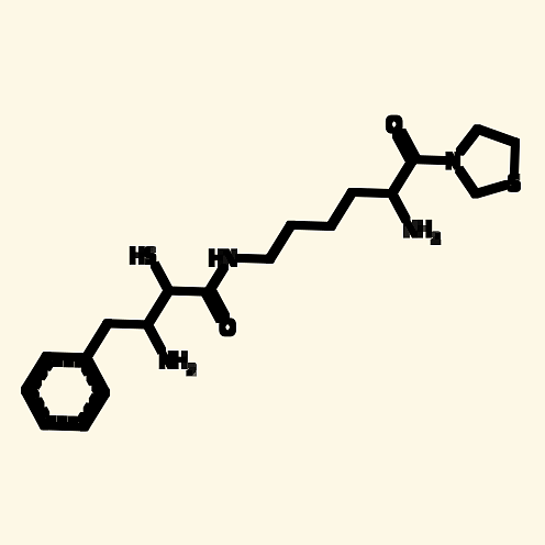 NC(CCCCNC(=O)C(S)C(N)Cc1ccccc1)C(=O)N1CCSC1